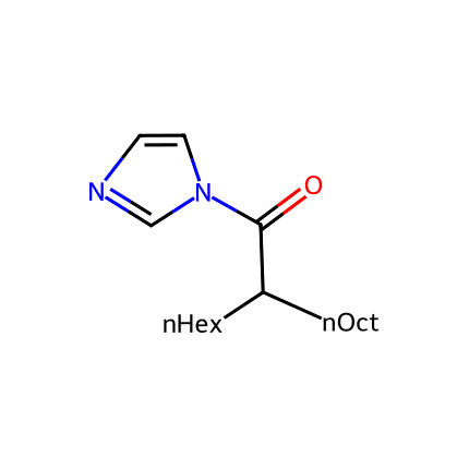 CCCCCCCCC(CCCCCC)C(=O)n1ccnc1